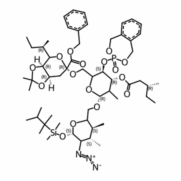 CC[C@@H](C)CC(=O)O[C@@H]1C(C)[C@H](OCC2O[C@@H](O[Si](C)(C)C(C)(C)C(C)C)C(N=[N+]=[N-])[C@@H](C)[C@@H]2C)OC(CO[C@]2(C(=O)OCc3ccccc3)C[C@H]3OC(C)(C)O[C@H]3C([C@H](C)CC)O2)[C@H]1OP1(=O)OCc2ccccc2CO1